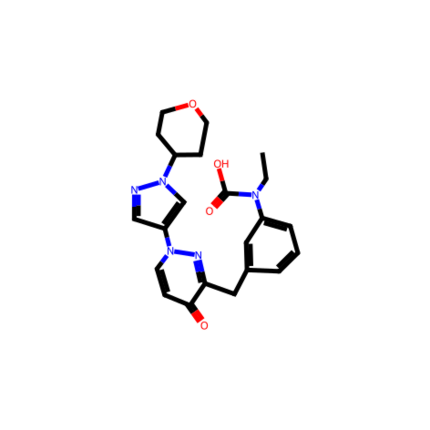 CCN(C(=O)O)c1cccc(Cc2nn(-c3cnn(C4CCOCC4)c3)ccc2=O)c1